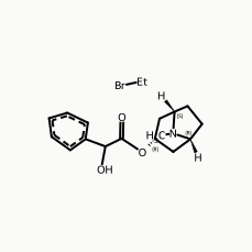 CCBr.CN1[C@@H]2CC[C@H]1C[C@@H](OC(=O)C(O)c1ccccc1)C2